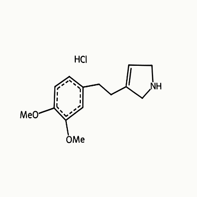 COc1ccc(CCC2=CCNC2)cc1OC.Cl